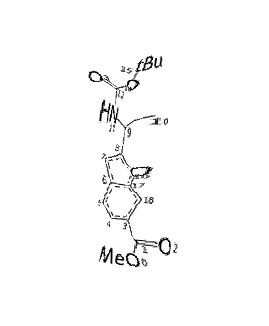 COC(=O)c1ccc2cc(C(C)NC(=O)OC(C)(C)C)oc2c1